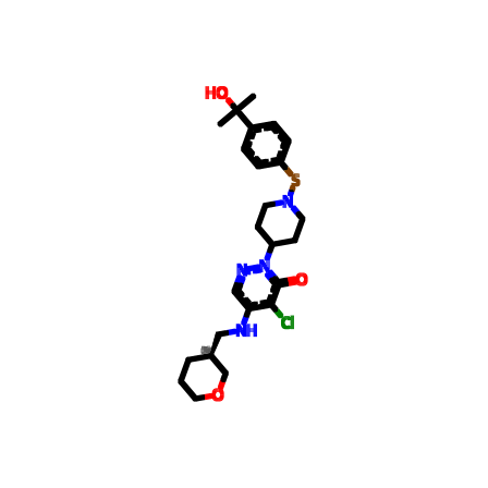 CC(C)(O)c1ccc(SN2CCC(n3ncc(NC[C@@H]4CCCOC4)c(Cl)c3=O)CC2)cc1